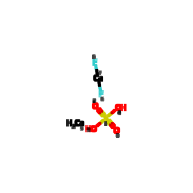 O=S(=O)(O)O.[CaH2].[F][Ca][F]